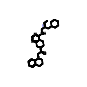 C/C=C(/CNc1ncnc2c1CCN(C(=O)CN1CCCc3ccccc31)C2)CC1CCCCC1